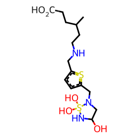 CC(CCNCc1ccc(CN2CC(O)NS2(O)O)s1)CCC(=O)O